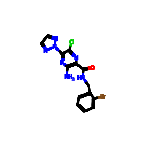 Nc1nc(-n2nccn2)c(Cl)nc1C(=O)NCc1ccccc1Br